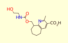 Cc1nc2c(cc1C(=O)O)CCCCC2COC(=O)NCCO